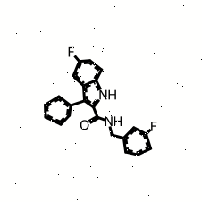 O=C(NCc1cccc(F)c1)c1[nH]c2ccc(F)cc2c1-c1ccccc1